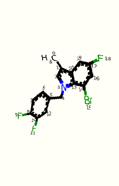 Cc1cn(Cc2ccc(F)c(F)c2)c2c(Br)cc(F)cc12